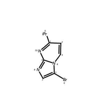 CC(C)c1ccn2c(Br)cnc2n1